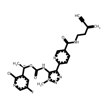 C#CC(=C)CCNC(=O)c1ccc(-c2nnn(C)c2NC(=O)O[C@H](C)c2cc(F)cnc2Cl)nc1